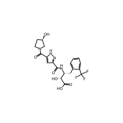 O=C(N[C@H](Cc1ccccc1C(F)(F)F)[C@@H](O)C(=O)O)c1cc(C(=O)N2CC[C@@H](O)C2)[nH]n1